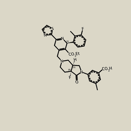 CCOC(=O)C1=C(CN2CC[C@]3(F)C(=O)N(c4cc(C)cc(C(=O)O)c4)C[C@@H]3C2)CC(c2nccs2)=N[C@H]1c1cccc(F)c1C